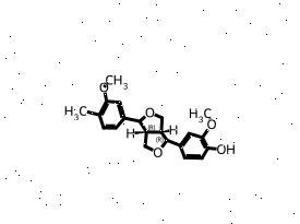 COc1cc(C2OC[C@@H]3C(c4ccc(O)c(OC)c4)OC[C@H]23)ccc1C